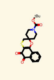 CC(C)(C)OC(=O)N1CCC2(CC1)CSC1=C(O2)c2ccccc2C(=O)C1=O